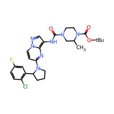 CC1CN(C(=O)Nc2cnn3ccc(N4CCCC4c4cc(F)ccc4Cl)nc23)CCN1C(=O)OC(C)(C)C